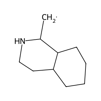 [CH2]C1NCCC2CCCCC21